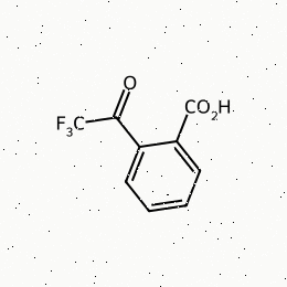 O=C(O)c1ccccc1C(=O)C(F)(F)F